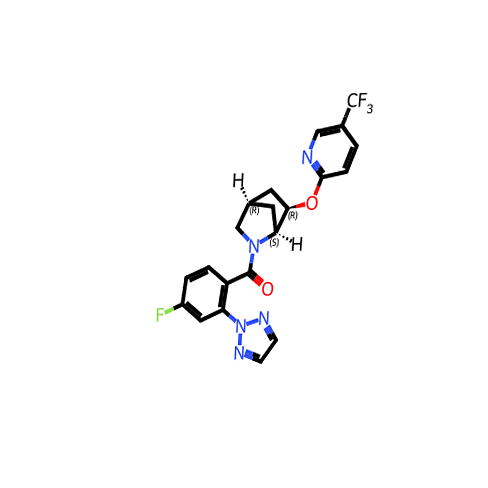 O=C(c1ccc(F)cc1-n1nccn1)N1C[C@H]2C[C@@H](Oc3ccc(C(F)(F)F)cn3)[C@@H]1C2